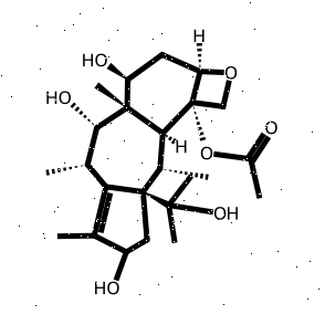 CC(=O)O[C@@]12CO[C@@H]1C[C@H](O)[C@]1(C)[C@@H]2[C@H](C)[C@]2(C(C)(C)O)CC(O)C(C)=C2[C@H](C)[C@@H]1O